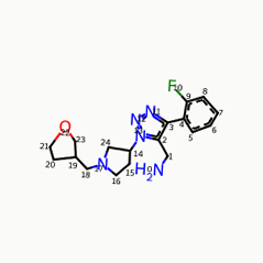 NCc1c(-c2ccccc2F)nnn1C1CCN(CC2CCOC2)C1